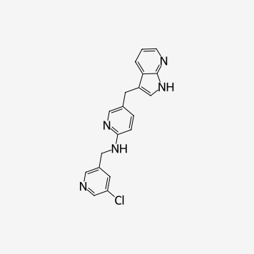 Clc1cncc(CNc2ccc(Cc3c[nH]c4ncccc34)cn2)c1